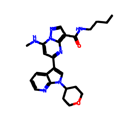 CCCCNC(=O)c1cnn2c(NC)cc(-c3cn(C4CCOCC4)c4ncccc34)nc12